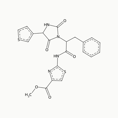 COC(=O)c1csc(NC(=O)C(Cc2ccccc2)N2C(=O)NC(c3ccsc3)C2=O)n1